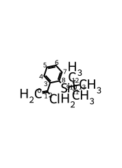 C=C(Cl)c1ccccc1[SiH2]C(C)(C)C